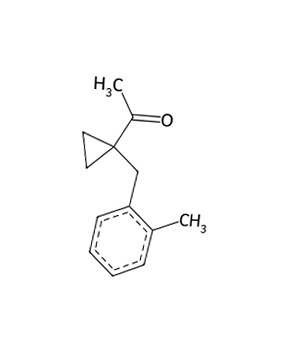 CC(=O)C1(Cc2ccccc2C)CC1